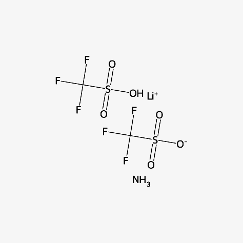 N.O=S(=O)(O)C(F)(F)F.O=S(=O)([O-])C(F)(F)F.[Li+]